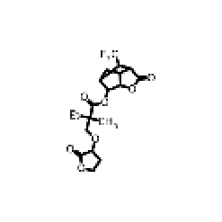 CCC(C)(COC1CCOC1=O)C(=O)OC1C2CC3C1OC(=O)C3C2C(F)(F)F